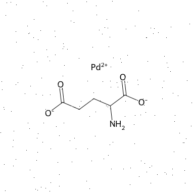 NC(CCC(=O)[O-])C(=O)[O-].[Pd+2]